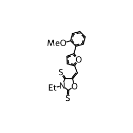 CCN1C(=S)OC(=Cc2ccc(-c3ccccc3OC)o2)C1=S